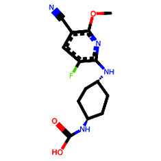 COc1nc(N[C@H]2CC[C@H](NC(=O)O)CC2)c(F)cc1C#N